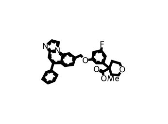 COC(=O)C1(c2cc(F)cc(OCc3ccc4c(-c5ccccc5)cc5nccn5c4c3)c2)CCOCC1